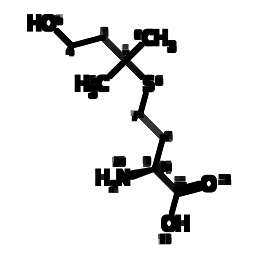 CC(C)(CCO)SCC[C@H](N)C(=O)O